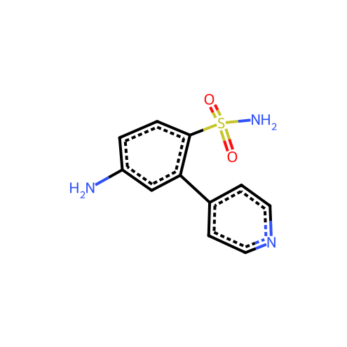 Nc1ccc(S(N)(=O)=O)c(-c2ccncc2)c1